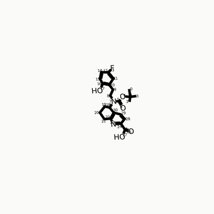 CC(C)(C)OC(=O)N(CCc1cc(F)ccc1O)C1CCCc2nc(C(=O)O)ccc21